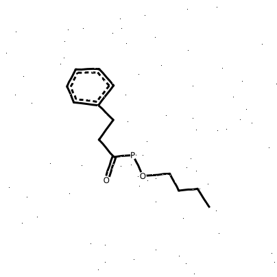 CCCCO[P]C(=O)CCc1ccccc1